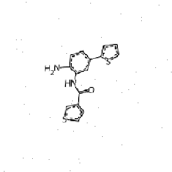 Nc1ccc(-c2cccs2)cc1NC(=O)c1ccsc1